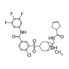 C[C@H]1CC2CC(S(=O)(=O)c3cc(C(=O)Nc4cc(F)c(F)c(F)c4)ccc3Cl)CC1[C@@]2(O)CNC(=O)C1CC=CC1